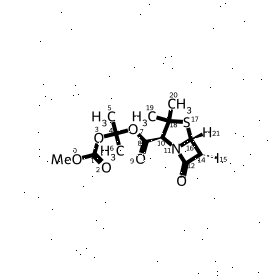 COC(=O)OC(C)(C)OC(=O)[C@@H]1N2C(=O)[C@@H](I)[C@H]2SC1(C)C